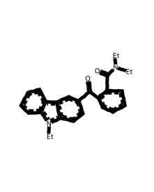 CCN(CC)C(=O)c1ccccc1C(=O)c1ccc2c(c1)c1ccccc1n2CC